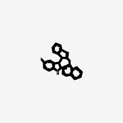 O=C1Nc2ccc(I)cc2C1C1C(Cc2cccc3ccccc23)=Cc2ccccc21